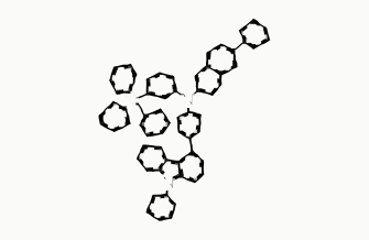 c1ccc(-c2ccc3cc(N(c4ccc(-c5cccc6c5c5ccccc5n6-c5ccccc5)cc4)c4cccc([Si](c5ccccc5)(c5ccccc5)c5ccccc5)c4)ccc3c2)cc1